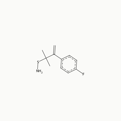 C=C(c1ccc(F)cc1)C(C)(C)SN